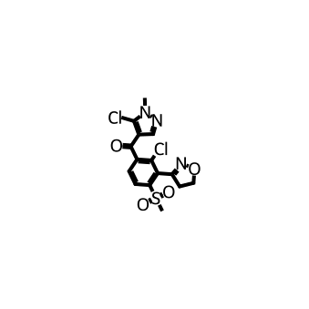 Cn1ncc(C(=O)c2ccc(S(C)(=O)=O)c(C3=NOCC3)c2Cl)c1Cl